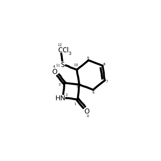 O=C1NC(=O)C12CC=CCC2SC(Cl)(Cl)Cl